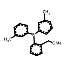 COCc1cccc[c]1[Bi]([c]1cccc(C)c1)[c]1cccc(C)c1